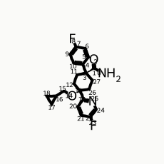 NC(=O)[C@]1(c2ccc(F)cc2)CC[C@](OCC2CC2)(c2ccc(F)cn2)CC1